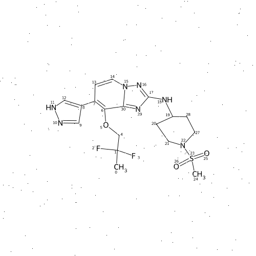 CC(F)(F)COc1c(-c2cn[nH]c2)ccn2nc(NC3CCN(S(C)(=O)=O)CC3)nc12